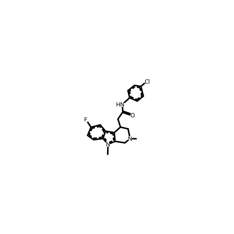 CN1Cc2c(c3cc(F)ccc3n2C)C(CC(=O)Nc2ccc(Cl)cc2)C1